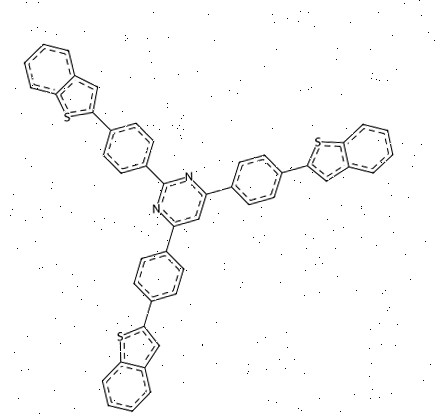 c1ccc2sc(-c3ccc(-c4cc(-c5ccc(-c6cc7ccccc7s6)cc5)nc(-c5ccc(-c6cc7ccccc7s6)cc5)n4)cc3)cc2c1